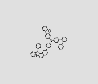 c1ccc(-c2ccccc2-c2ccc(N(c3ccc(-c4ccc5ccc6c(c(-c7ccccc7)c7ccccn76)c5c4)cc3)c3ccc4c(c3)oc3ccccc34)cc2)cc1